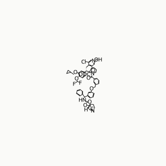 O=C(N[C@@H](c1ccccc1)c1cccc(OCc2cccc(C(=O)N3CCCC[C@@]3(C(=O)[O-])[C@@H](Cc3c(Cl)c[n+](O)cc3Cl)c3ccc(OC(F)F)c(OCC4CC4)c3)c2)c1)O[C@H]1CN2CCC1CC2